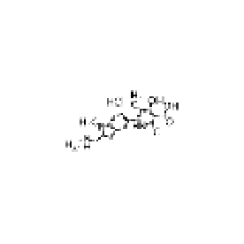 CNCc1cc2cc(-c3[nH]c(=O)c(C(=O)O)c(O)c3C)ccc2n1C.Cl